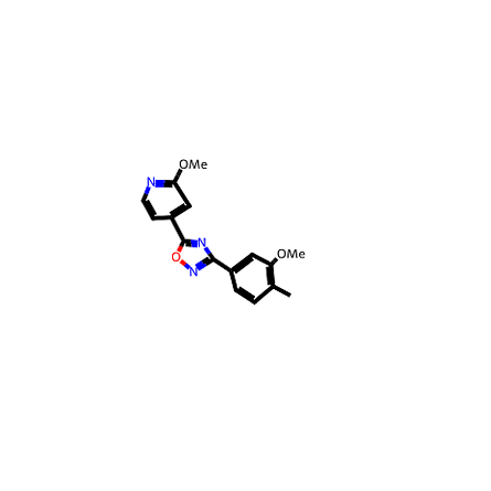 COc1cc(-c2nc(-c3ccc(C)c(OC)c3)no2)ccn1